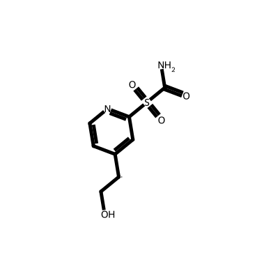 NC(=O)S(=O)(=O)c1cc([CH]CO)ccn1